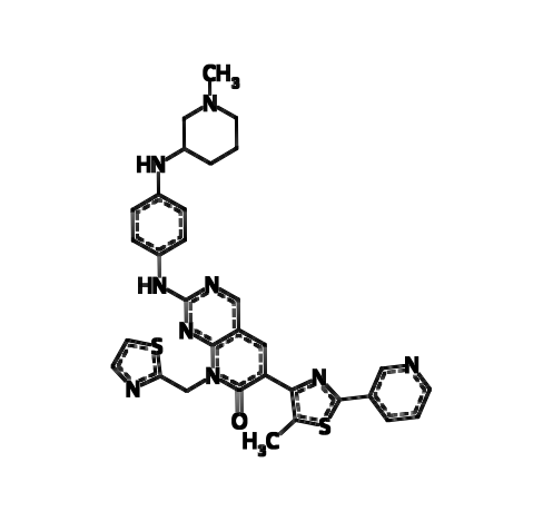 Cc1sc(-c2cccnc2)nc1-c1cc2cnc(Nc3ccc(NC4CCCN(C)C4)cc3)nc2n(Cc2nccs2)c1=O